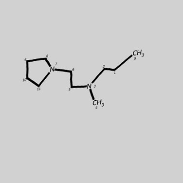 CCCN(C)CCN1CCCC1